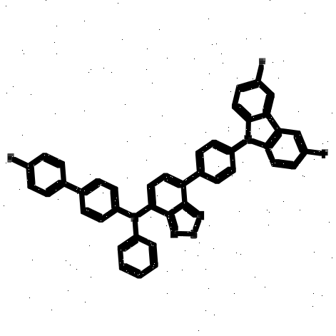 Fc1ccc(-c2ccc(N(c3ccccc3)c3ccc(-c4ccc(-n5c6ccc(F)cc6c6cc(F)ccc65)cc4)c4nsnc34)cc2)cc1